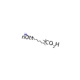 CCCCCCCC/C=C\CCCCCCCCCC(C)C(C)(C)C(=O)O